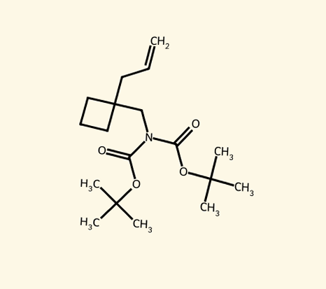 C=CCC1(CN(C(=O)OC(C)(C)C)C(=O)OC(C)(C)C)CCC1